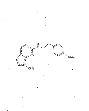 COc1ccc(CCNc2ncc3ccn(C)c3n2)cc1